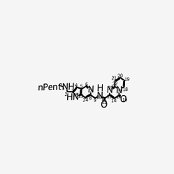 CCCCCNCc1cc2cnc(CNC(=O)c3cc(=O)n4ccccc4n3)cc2[nH]1